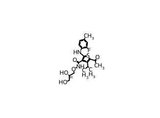 CC(=O)c1sc(Nc2ccc(C)cc2F)c(C(=O)NOC[C@H](O)CO)c1C(C)C